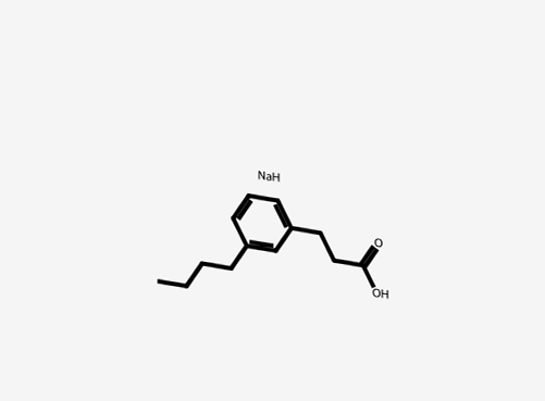 CCCCc1cccc(CCC(=O)O)c1.[NaH]